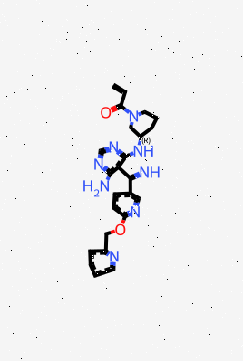 C=CC(=O)N1CCC[C@@H](Nc2ncnc(N)c2C(=N)c2ccc(OCc3ccccn3)nc2)C1